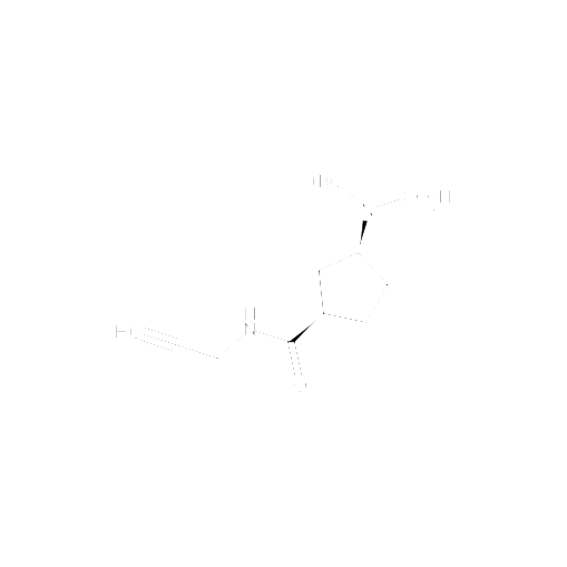 C#CCNC(=O)[C@@H]1CC[C@H](N(C(=O)O)C(C)(C)C)C1